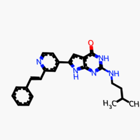 CC(C)CCNc1nc2[nH]c(-c3ccnc(C=Cc4ccccc4)c3)cc2c(=O)[nH]1